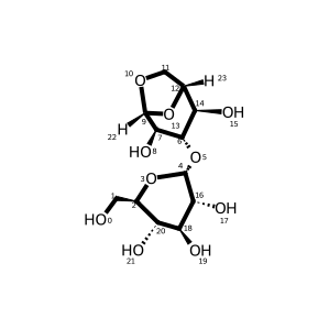 OC[C@H]1O[C@H](O[C@@H]2[C@@H](O)[C@@H]3OC[C@@H](O3)[C@H]2O)[C@H](O)[C@@H](O)[C@@H]1O